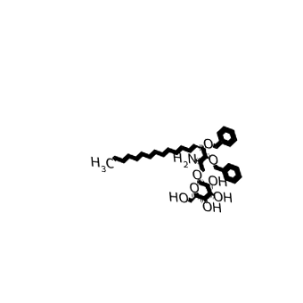 CCCCCCCCCCCCCC[C@@H](OCc1ccccc1)[C@@H](OCc1ccccc1)[C@@H](N)CO[C@H]1O[C@H](CO)[C@H](O)[C@H](O)[C@H]1O